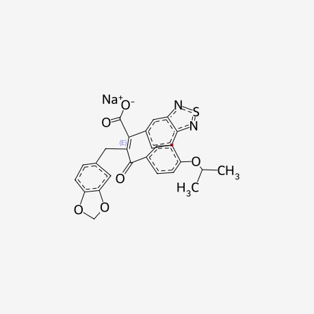 CC(C)Oc1ccc(C(=O)/C(Cc2ccc3c(c2)OCO3)=C(/C(=O)[O-])c2ccc3nsnc3c2)cc1.[Na+]